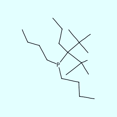 CCCCP(CCCC)C(CCC)(C(C)(C)C)C(C)(C)C